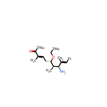 CC/C=C(\C)[C@@H](N)[C@@H](C)[C@H](C/C=C(\C)C(=O)OC)OCSC